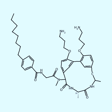 CCCCCCCCc1ccc(C(=O)NCC(=O)N(C)C2C(=O)N[C@@H](C)C(=O)NC(C)Cc3ccc(OCCCN)c(c3)-c3cc2ccc3OCCCN)cc1